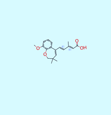 COc1cccc2c1OCC(C)(C)C=C2/C=C/C(C)=C/C(=O)O